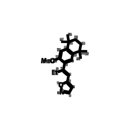 CCC(=Cc1ccno1)c1cc2c(cc1OC)C(C)(C)CCC2(C)C